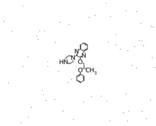 CC(COc1nc2ccccc2nc1N1CCNCC1)Oc1ccccc1